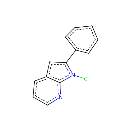 Cln1c(-c2ccccc2)cc2cccnc21